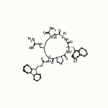 CC[C@@H]1NC(=O)[C@H](Cc2c[nH]c3ccccc23)NC(=O)C2CCCN2C(=O)[C@@H](NC(=O)OCC2c3ccccc3-c3ccccc32)CCC(CNC(=N)N)CC[C@@H](C(N)=O)NC1=O